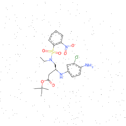 CCN(C[C@H](CC(=O)OC(C)(C)C)Nc1ccc(N)c(Cl)c1)S(=O)(=O)c1ccccc1[N+](=O)[O-]